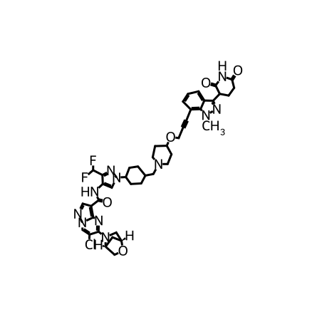 Cn1nc(C2CCC(=O)NC2=O)c2cccc(C#CCOC3CCN(CC4CCC(n5cc(NC(=O)c6cnn7cc(Cl)c(N8C[C@H]9C[C@@H]8CO9)nc67)c(C(F)F)n5)CC4)CC3)c21